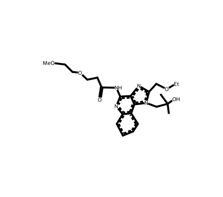 CCOCc1nc2c(NC(=O)CCOCCOC)nc3ccccc3c2n1CC(C)(C)O